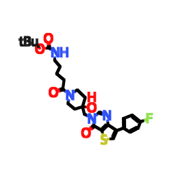 CC(C)(C)OC(=O)NCCCCC(=O)N1CCC(O)(Cn2cnc3c(-c4ccc(F)cc4)csc3c2=O)CC1